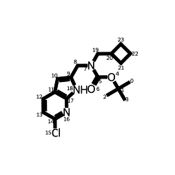 CC(C)(C)OC(=O)N(Cc1cc2ccc(Cl)nc2[nH]1)CC1CCC1